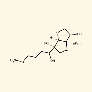 CCCCC[C@]12OC[C@@](O)(C(O)CCCO[N+](=O)[O-])[C@H]1OC[C@@H]2O